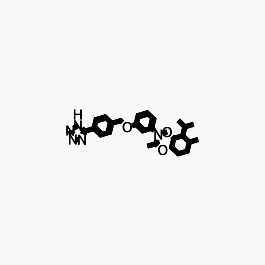 CC(=O)N(OC1CCCC(C)C1C(C)C)c1cccc(OCc2ccc(-c3nnn[nH]3)cc2)c1